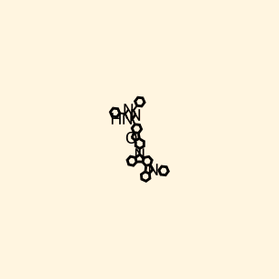 c1ccc(C2=NC(c3ccccc3)NC(c3ccc4c(c3)oc3cc(-n5c6ccccc6c6c7c8ccccc8n(-c8ccccc8)c7ccc65)ccc34)=N2)cc1